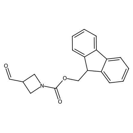 O=CC1CN(C(=O)OCC2c3ccccc3-c3ccccc32)C1